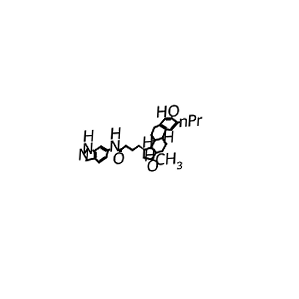 CCCc1cc2c(cc1O)CC[C@H]1[C@@H]3[C@H](CCCC(=O)Nc4ccc5cn[nH]c5c4)CC(=O)[C@@]3(C)CC[C@H]21